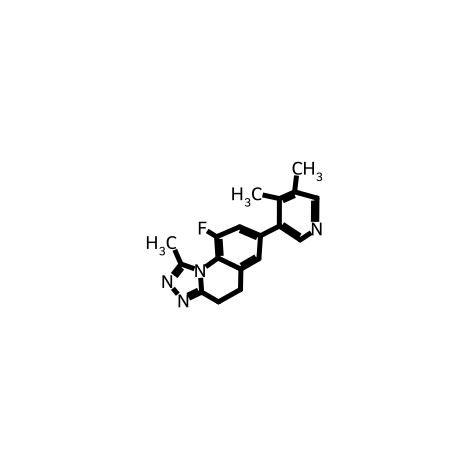 Cc1cncc(-c2cc(F)c3c(c2)CCc2nnc(C)n2-3)c1C